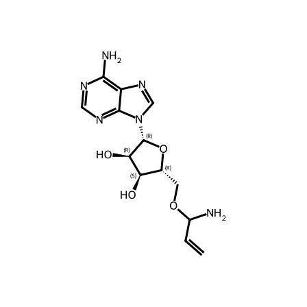 C=CC(N)OC[C@H]1O[C@@H](n2cnc3c(N)ncnc32)[C@H](O)[C@@H]1O